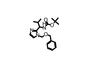 CC(C)C(NC(=O)OC(C)(C)C)c1nccn1COCc1ccccc1